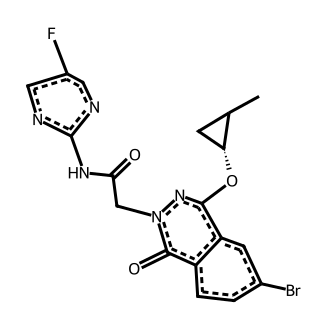 CC1C[C@H]1Oc1nn(CC(=O)Nc2ncc(F)cn2)c(=O)c2ccc(Br)cc12